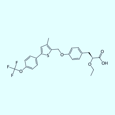 CCO[C@@H](Cc1ccc(OCc2sc(-c3ccc(OC(F)(F)F)cc3)cc2C)cc1)C(=O)O